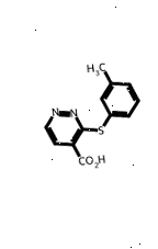 Cc1cccc(Sc2nnccc2C(=O)O)c1